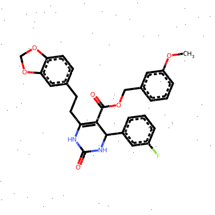 COc1cccc(COC(=O)C2=C(CCc3ccc4c(c3)OCO4)NC(=O)NC2c2cccc(F)c2)c1